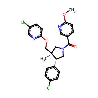 COc1ccc(C(=O)N2C[C@H](c3ccc(Cl)cc3)[C@@](C)(COc3ccc(Cl)cn3)C2)cn1